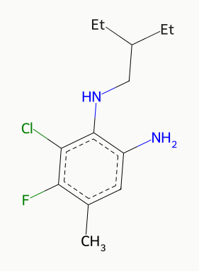 CCC(CC)CNc1c(N)cc(C)c(F)c1Cl